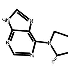 F[C@H]1CCCN1c1ncnc2[nH]cnc12